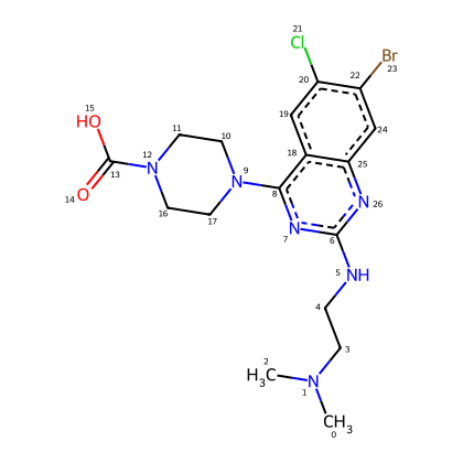 CN(C)CCNc1nc(N2CCN(C(=O)O)CC2)c2cc(Cl)c(Br)cc2n1